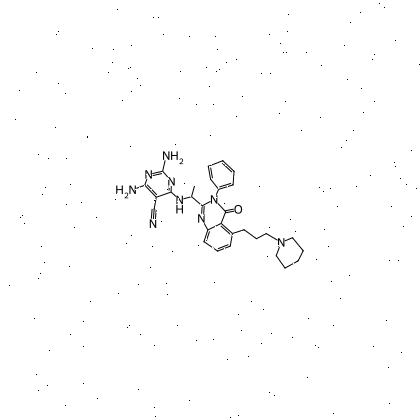 CC(Nc1nc(N)nc(N)c1C#N)c1nc2cccc(CCCN3CCCCC3)c2c(=O)n1-c1ccccc1